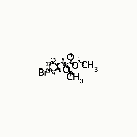 CCOC(=O)C(=Cc1ccc(Br)cc1)OCC